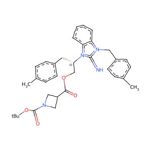 Cc1ccc(C[C@@H](COC(=O)C2CN(C(=O)OC(C)(C)C)C2)n2c(=N)n(Cc3ccc(C)cc3)c3ccccc32)cc1